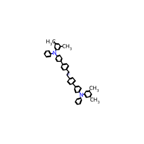 Cc1cc(C)cc(N(c2ccccc2)c2ccc(-c3ccc(/C=C/c4ccc(-c5ccc(N(c6ccccc6)c6cc(C)cc(C)c6)cc5)cc4)cc3)cc2)c1